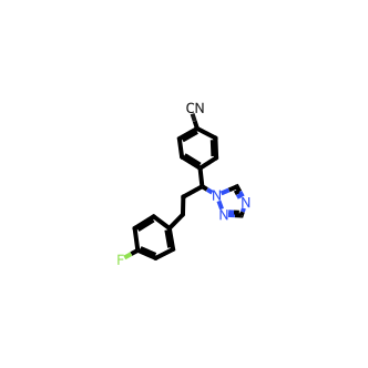 N#Cc1ccc(C(CCc2ccc(F)cc2)n2cncn2)cc1